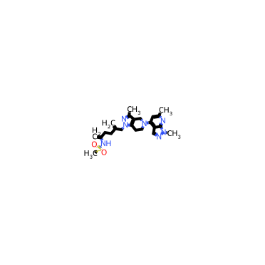 C=C(CCC(=C)NS(C)(=O)=O)Cn1nc(C)c2c1CCN(c1cc(C)nc3c1cnn3C)C2